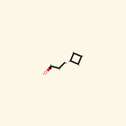 C1CCC1.CCC=O